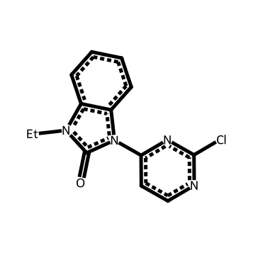 CCn1c(=O)n(-c2ccnc(Cl)n2)c2ccccc21